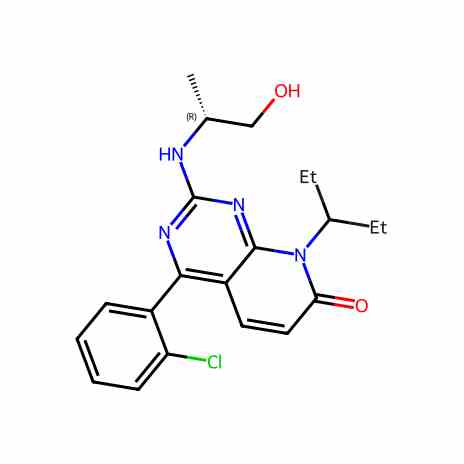 CCC(CC)n1c(=O)ccc2c(-c3ccccc3Cl)nc(N[C@H](C)CO)nc21